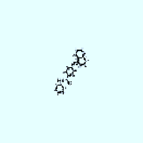 O=C(Nc1cccnc1)c1ccc(Oc2cccc3ncccc23)nc1